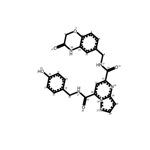 O=C1COc2ccc(CNC(=O)c3cc(C(=O)NCc4ccc(O)cc4)n4nccc4n3)cc2N1